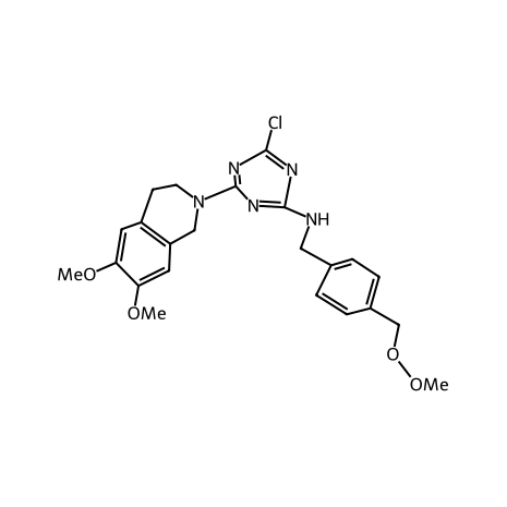 COOCc1ccc(CNc2nc(Cl)nc(N3CCc4cc(OC)c(OC)cc4C3)n2)cc1